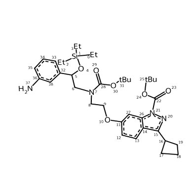 CC[Si](CC)(CC)OC(CN(CCOc1ccc2c(C3CCC3)nn(C(=O)OC(C)(C)C)c2c1)C(=O)OC(C)(C)C)c1cccc(N)c1